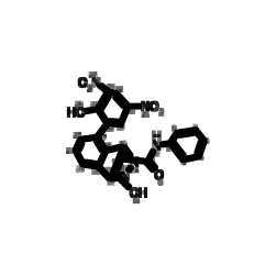 O=C(Nc1ccccc1)c1c(O)c2nnc1c1c(-c3cc([N+](=O)[O-])cc([N+](=O)[O-])c3O)cccc21